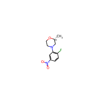 C[C@@H]1CN(c2cc([N+](=O)[O-])ccc2F)CCO1